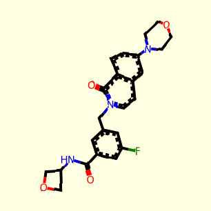 O=C(NC1COC1)c1cc(F)cc(Cn2ccc3cc(N4CCOCC4)ccc3c2=O)c1